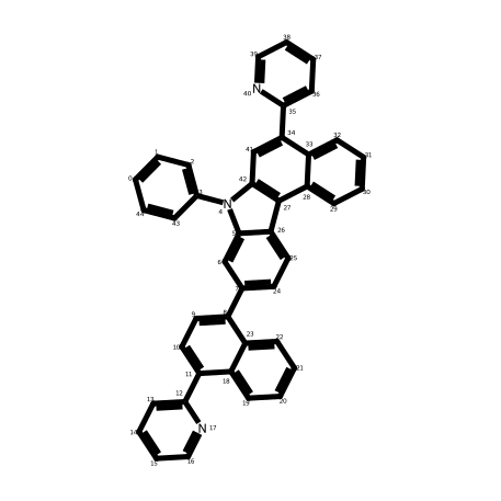 c1ccc(-n2c3cc(-c4ccc(-c5ccccn5)c5ccccc45)ccc3c3c4ccccc4c(-c4ccccn4)cc32)cc1